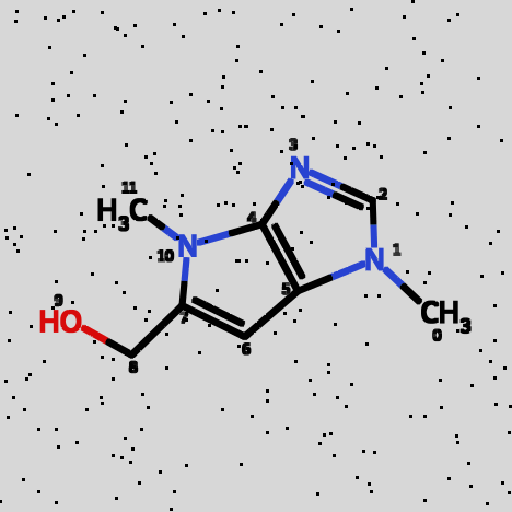 Cn1cnc2c1cc(CO)n2C